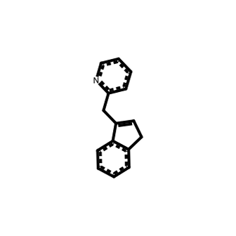 C1=C(Cc2ccccn2)c2ccccc2C1